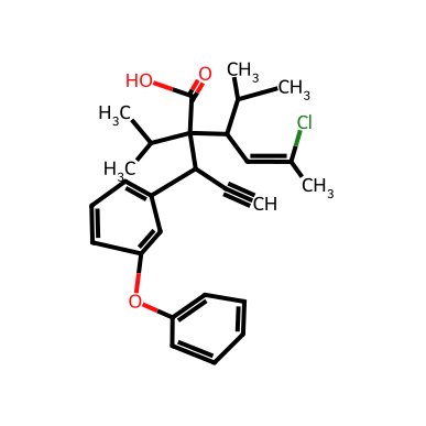 C#CC(c1cccc(Oc2ccccc2)c1)C(C(=O)O)(C(C)C)C(C=C(C)Cl)C(C)C